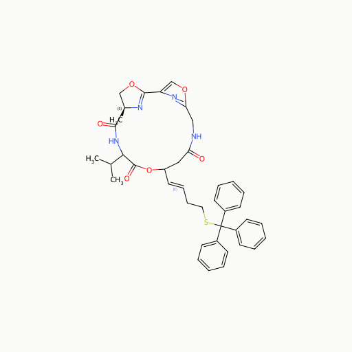 CC(C)C1NC(=O)[C@]2(C)COC(=N2)c2coc(n2)CNC(=O)CC(/C=C/CCSC(c2ccccc2)(c2ccccc2)c2ccccc2)OC1=O